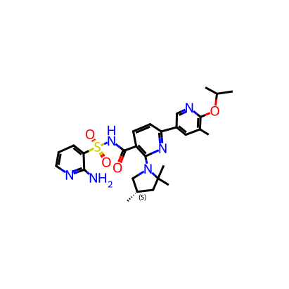 Cc1cc(-c2ccc(C(=O)NS(=O)(=O)c3cccnc3N)c(N3C[C@@H](C)CC3(C)C)n2)cnc1OC(C)C